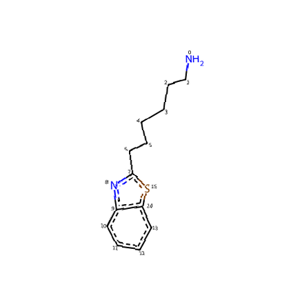 NCCCCCCc1nc2ccccc2s1